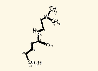 CN(C)CCNC(=O)CCCS(=O)(=O)O